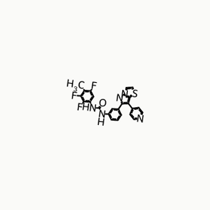 Cc1c(F)cc(NC(=O)Nc2cccc(-c3nn4ccsc4c3-c3ccncc3)c2)c(F)c1F